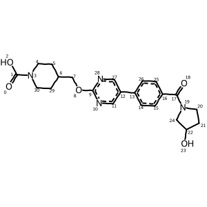 O=C(O)N1CCC(COc2ncc(-c3ccc(C(=O)N4CCC(O)C4)cc3)cn2)CC1